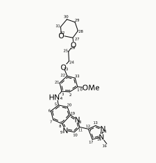 COc1cc(Nc2ccc3ncc(-c4cnn(C)c4)nc3c2)cc(OCCOC2CCCCO2)c1